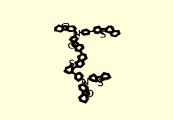 c1ccc2c(c1)ccc1c3ccc(-c4ccc(N(c5ccc6oc7ccccc7c6c5)c5ccc6oc7cc(-c8ccc9ccc%10c(sc%11cccc(-c%12ccc(N(c%13ccc%14c(c%13)oc%13ccccc%13%14)c%13ccc%14c(c%13)sc%13ccccc%13%14)cc%12)c%11%10)c9c8)ccc7c6c5)cc4)cc3sc21